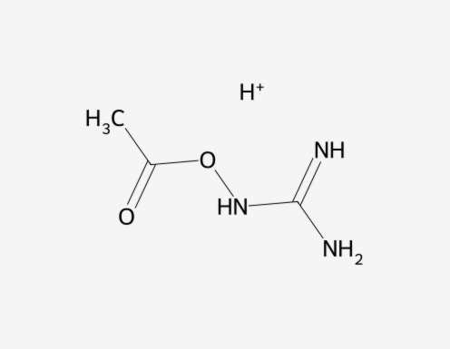 CC(=O)ONC(=N)N.[H+]